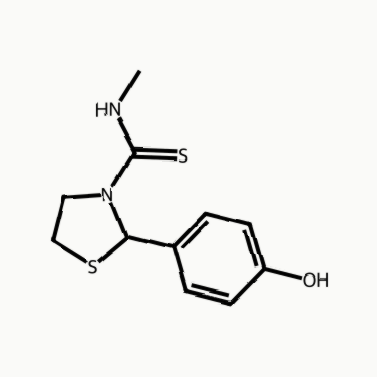 CNC(=S)N1CCSC1c1ccc(O)cc1